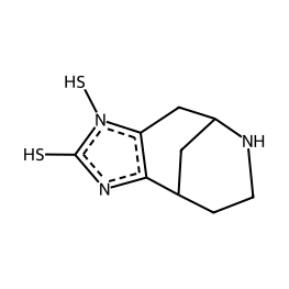 Sc1nc2c(n1S)CC1CC2CCN1